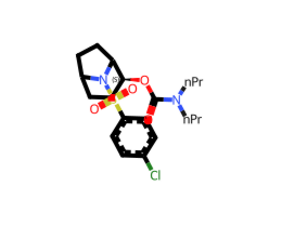 CCCN(CCC)C(=O)O[C@H]1CCC2CCC1N2S(=O)(=O)c1ccc(Cl)cc1